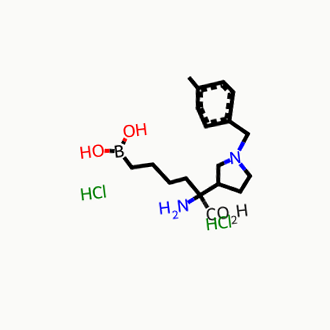 Cc1ccc(CN2CCC(C(N)(CCCCB(O)O)C(=O)O)C2)cc1.Cl.Cl